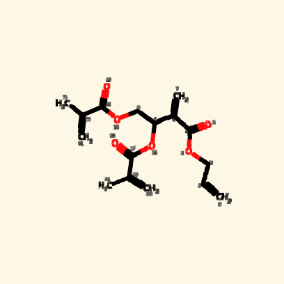 C=CCOC(=O)C(=C)C(COC(=O)C(=C)C)OC(=O)C(=C)C